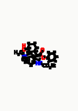 CCOC(=O)NCC1(C(C(=O)Oc2ccccc2)C2CCCC(O)C2CN(C)C)CCCCC1